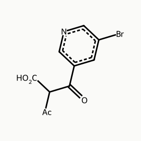 CC(=O)C(C(=O)O)C(=O)c1cncc(Br)c1